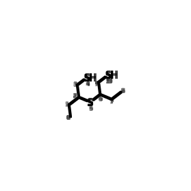 CCC(CS)SC(CC)CS